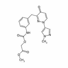 COC(=O)COC(=O)Nc1cccc(Cc2nn(-c3cnn(C)c3)ccc2=O)c1